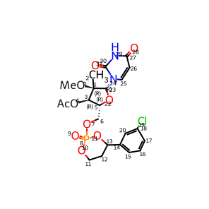 CO[C@]1(C)[C@H](OC(C)=O)[C@@H](COP2(=O)OCCC(c3cccc(Cl)c3)O2)O[C@H]1n1ccc(=O)[nH]c1=O